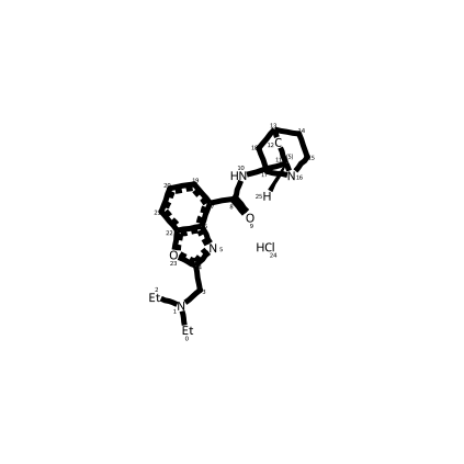 CCN(CC)Cc1nc2c(C(=O)N[C@@H]3CC4CCN3CC4)cccc2o1.Cl